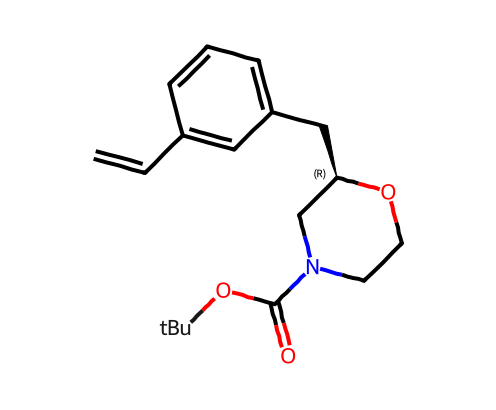 C=Cc1cccc(C[C@@H]2CN(C(=O)OC(C)(C)C)CCO2)c1